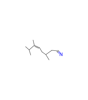 C/C(=C/CC(C)CC#N)C(C)C